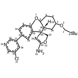 CC(C)(C)COC1CCC2Oc3ccc(-c4cncc(Cl)c4)cc3[C@]3(COC(N)=N3)[C@H]2C1